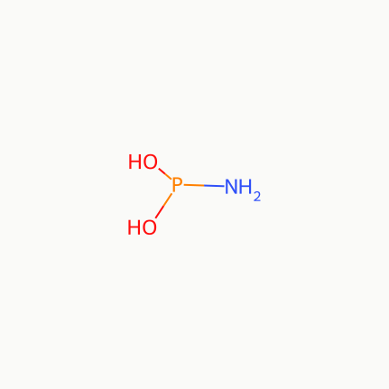 NP(O)O